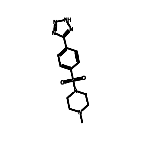 CN1CCN(S(=O)(=O)c2ccc(-c3nn[nH]n3)cc2)CC1